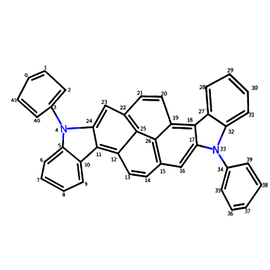 c1ccc(-n2c3ccccc3c3c4ccc5cc6c(c7ccc(cc32)c4c57)c2ccccc2n6-c2ccccc2)cc1